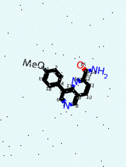 COc1ccc(-c2cncc3ccc(C(N)=O)nc23)cc1